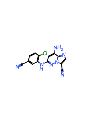 N#Cc1ccc(Cl)c(Nc2cc(N)c3ncc(C#N)n3n2)c1